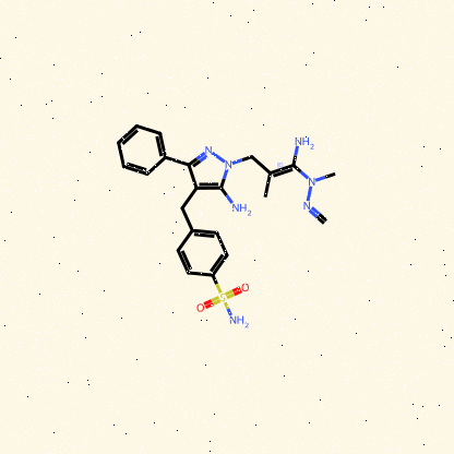 C=NN(C)/C(N)=C(\C)Cn1nc(-c2ccccc2)c(Cc2ccc(S(N)(=O)=O)cc2)c1N